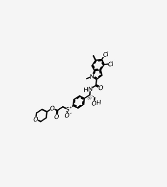 Cc1cc2c(cc(C(=O)N[C@H](CO)c3ccc([S+]([O-])CC(=O)OC4CCOCC4)cc3)n2C)c(Cl)c1Cl